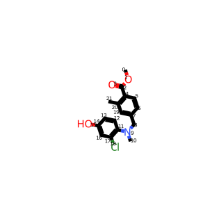 COC(=O)c1ccc(CN(C)c2ccc(O)cc2Cl)cc1C